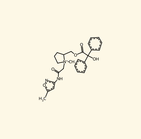 Cc1cc(NC(=O)C[N+]2(C)CCCC2COC(=O)C(O)(c2ccccc2)c2ccccc2)no1